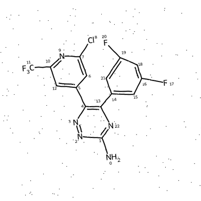 Nc1nnc(-c2cc(Cl)nc(C(F)(F)F)c2)c(-c2cc(F)cc(F)c2)n1